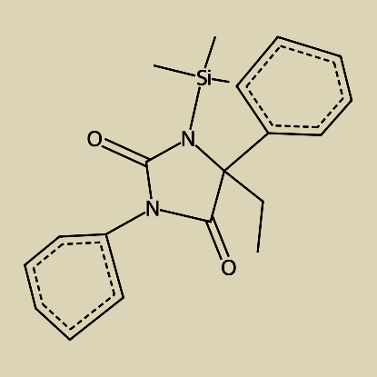 CCC1(c2ccccc2)C(=O)N(c2ccccc2)C(=O)N1[Si](C)(C)C